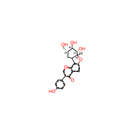 O=c1c(-c2ccc(O)cc2)coc2c3c(ccc12)O[C@@H]1C3C[C@H](CO)[C@@H](O)[C@@H]1O